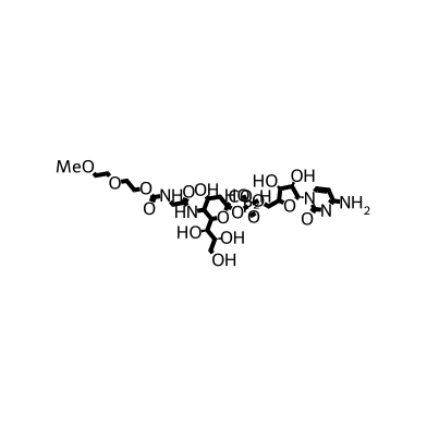 COCCOCCOC(=O)NCC(=O)NC1C(O)CC(OP(=O)(O)OCC2O[C@@H](n3ccc(N)nc3=O)[C@H](O)[C@@H]2O)(C(=O)O)OC1[C@H](O)[C@H](O)CO